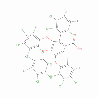 O=C(O)c1cc(Oc2c(Cl)c(Cl)c(Cl)c(Cl)c2Cl)c(Oc2c(Cl)c(Cl)c(Cl)c(Cl)c2Cl)c(Oc2c(Cl)c(Cl)c(Cl)c(Cl)c2Cl)c1-c1c(Cl)c(Cl)c(Cl)c(Cl)c1Cl